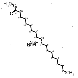 CCCCCCCCCCCCCCCCCCCC(=O)OC.[NaH].[NaH]